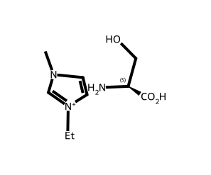 CC[n+]1ccn(C)c1.N[C@@H](CO)C(=O)O